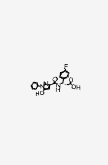 O=C(O)C[C@H](NC(=O)c1cc(O)n(-c2ccccc2)n1)c1ccc(F)cc1